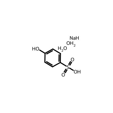 O.O.O=S(=O)(O)c1ccc(O)cc1.[NaH]